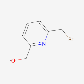 [O]Cc1cccc(CBr)n1